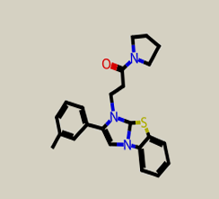 Cc1cccc(C2=CN3c4ccccc4SC3N2CCC(=O)N2CCCC2)c1